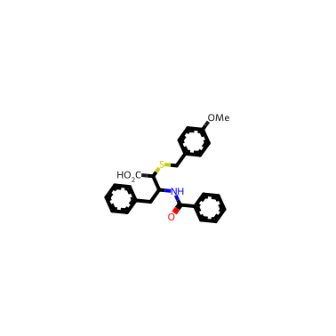 COc1ccc(CSC(C(=O)O)C(Cc2ccccc2)NC(=O)c2ccccc2)cc1